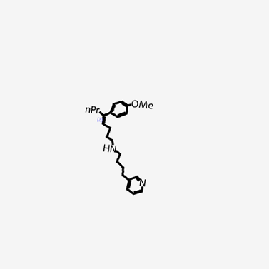 CCC/C(=C/CCCNCCCCc1cccnc1)c1ccc(OC)cc1